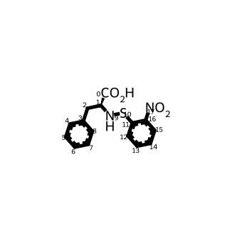 O=C(O)[C@H](Cc1ccccc1)NSc1ccccc1[N+](=O)[O-]